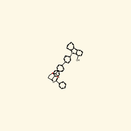 Oc1cccc2c3ccccc3n(-c3ccc(-c4ccc(C5=C/CC/C(c6ccccc6)=N/C(c6ccccc6)=N\5)cc4)cc3)c12